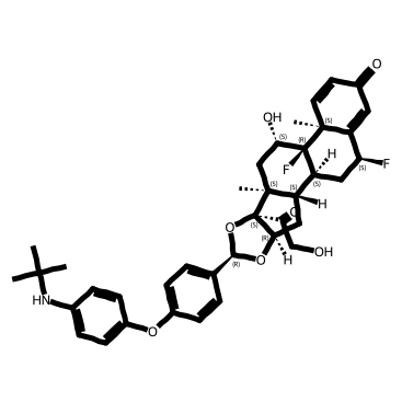 CC(C)(C)Nc1ccc(Oc2ccc([C@@H]3O[C@@H]4C[C@H]5[C@@H]6C[C@H](F)C7=CC(=O)C=C[C@]7(C)[C@@]6(F)[C@@H](O)C[C@]5(C)[C@]4(C(=O)CO)O3)cc2)cc1